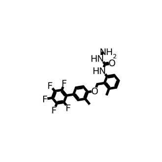 Cc1cc(-c2c(F)c(F)c(F)c(F)c2F)ccc1OCc1c(C)cccc1NC(=O)NN